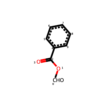 O=COC(=O)c1ccccc1